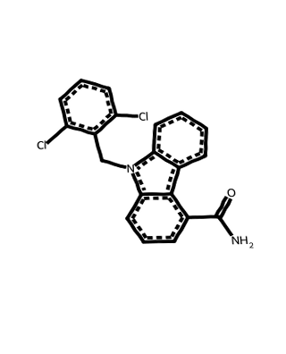 NC(=O)c1cccc2c1c1ccccc1n2Cc1c(Cl)cccc1Cl